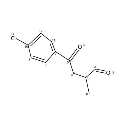 CC(C=O)CC(=O)c1ccc(Cl)cc1